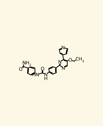 CCOc1cnc(-c2ccc(NC(=O)Nc3ccc(C(N)=O)cc3)cc2)nc1-c1ccncc1